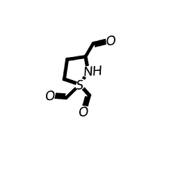 O=CC1CCS(C=O)(C=O)N1